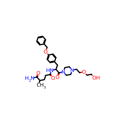 CC(C[CH]C(=O)NC(Cc1ccc(OCc2ccccc2)cc1)C(=O)N1CCN(CCOCCO)CC1)C(N)=O